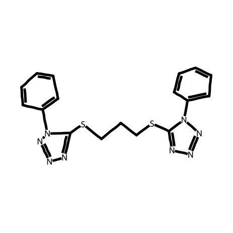 c1ccc(-n2nnnc2SCCCSc2nnnn2-c2ccccc2)cc1